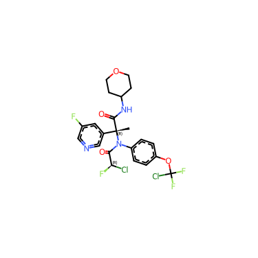 C[C@](C(=O)NC1CCOCC1)(c1cncc(F)c1)N(C(=O)[C@H](F)Cl)c1ccc(OC(F)(F)Cl)cc1